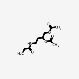 CCC(=O)NCCC(COC(C)=O)OC(C)=O